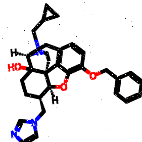 OC12CC[C@H](Cn3ccnc3)[C@@H]3Oc4c(OCc5ccccc5)ccc5c4[C@@]31CCN(CC1CC1)[C@@H]2C5